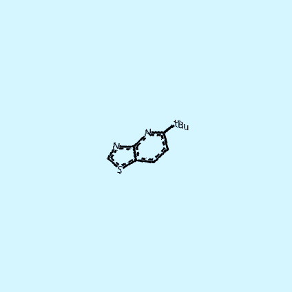 CC(C)(C)c1ccc2scnc2n1